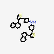 c1ccc2c(-c3ccsc3-c3ccc(Nc4ccc(-c5sccc5-c5cccc6ccccc56)cc4)cc3)cccc2c1